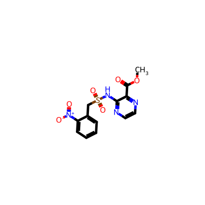 COC(=O)c1nccnc1NS(=O)(=O)Cc1ccccc1[N+](=O)[O-]